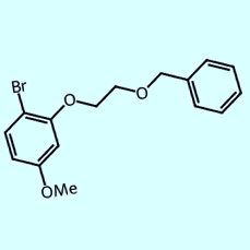 COc1ccc(Br)c(OCCOCc2ccccc2)c1